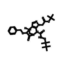 CC(C)(C)OC(=O)Cn1ncc2c1[C@@H](C(=O)NO[Si](C)(C)C(C)(C)C)N1C[C@@H]2N(OCc2ccccc2)C1=O